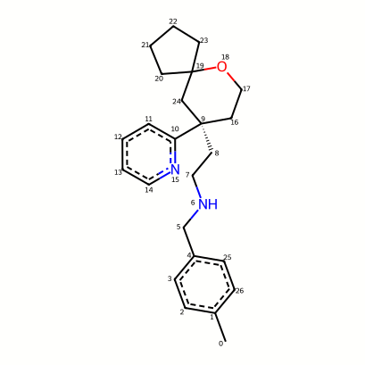 Cc1ccc(CNCC[C@@]2(c3ccccn3)CCOC3(CCCC3)C2)cc1